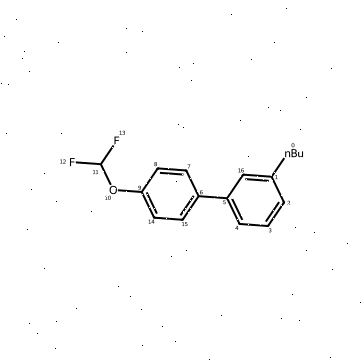 CCCCc1cccc(-c2ccc(OC(F)F)cc2)c1